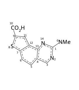 CNc1ncc2ccc3sc(C(=O)O)cc3c2n1